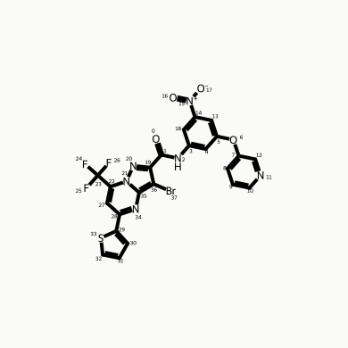 O=C(Nc1cc(Oc2cccnc2)cc([N+](=O)[O-])c1)c1nn2c(C(F)(F)F)cc(-c3cccs3)nc2c1Br